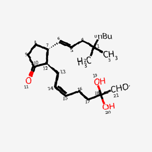 CCCCC(C)(C)C/C=C/[C@H]1CCC(=O)[C@@H]1C/C=C\CCC(O)(O)[C]=O